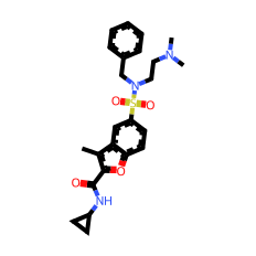 Cc1c(C(=O)NC2CC2)oc2ccc(S(=O)(=O)N(CCN(C)C)Cc3ccccc3)cc12